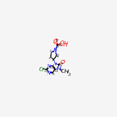 Cn1c(=O)n([C@H]2CCN(C(=O)O)C2)c2nc(Cl)ncc21